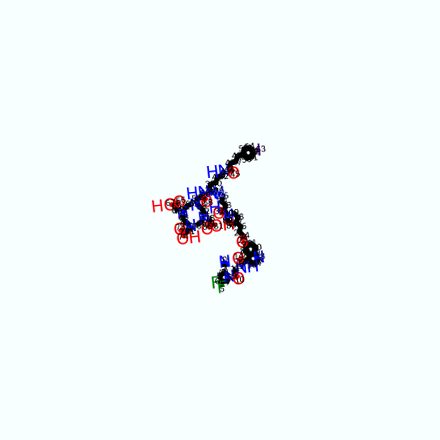 N#C[C@H]1CC(F)(F)CN1C(=O)CNC(=O)c1ccnc2ccc(OCCCC3CCN(C(=O)CC/C=N\NC(CCCCNC(=O)CCCc4ccc(I)cc4)NC(=O)CN4CCN(CC(=O)O)CCN(CC(=O)O)CCN(CC(=O)O)CC4)CC3)cc12